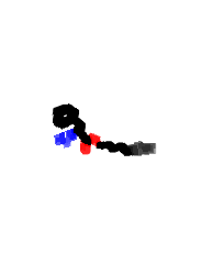 CCCCCCCCCCCCCCCOC(=O)C(N)Cc1ccccc1